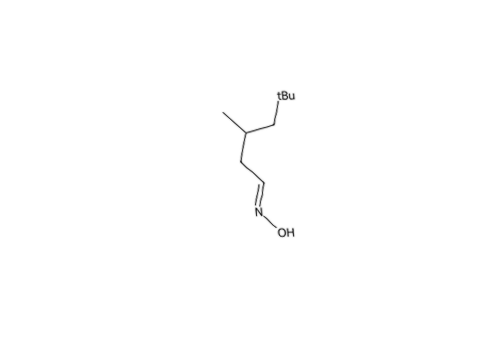 CC(C/C=N/O)CC(C)(C)C